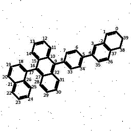 C1=Cc2cc(-c3ccc(-c4c5ccccc5c(-c5cccc6ccccc56)c5ccccc45)cc3)ccc2CC1